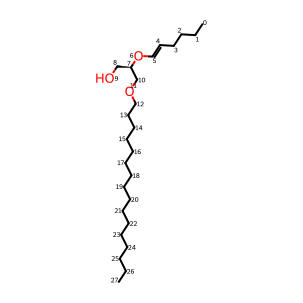 CCCCC=CO[C@H](CO)COCCCCCCCCCCCCCCCC